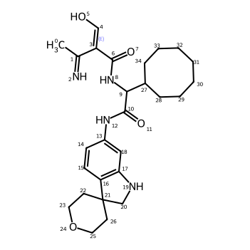 CC(=N)/C(=C\O)C(=O)NC(C(=O)Nc1ccc2c(c1)NCC21CCOCC1)C1CCCCCCC1